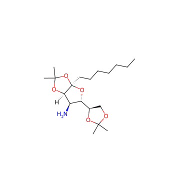 CCCCCCC[C@]12O[C@H]([C@H]3COC(C)(C)O3)[C@@H](N)[C@H]1OC(C)(C)O2